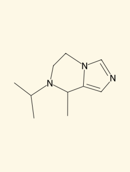 CC(C)N1CCn2cncc2C1C